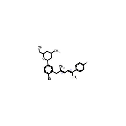 CCc1ccc(C2CC(C)CC(CO)O2)cc1C/C(C)=C/C=C(\C)c1ccc(F)cc1